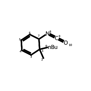 CCCCC1(C)C=CC=CC1N=C=O